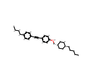 CCCCC[C@H]1CC[C@H](COc2ccc(C#Cc3ccc(CCCC)cc3)cc2)CC1